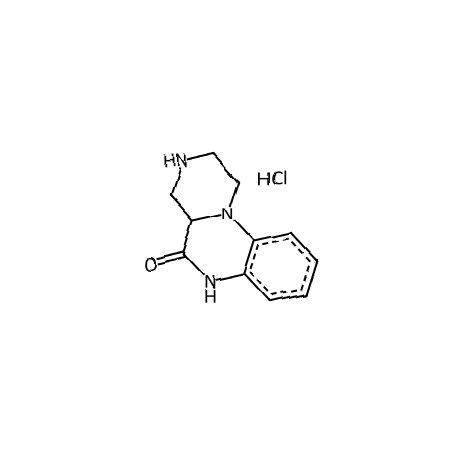 Cl.O=C1Nc2ccccc2N2CCNCC12